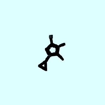 Cc1c(Cl)cn(C2CC2)c1C